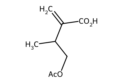 C=C(C(=O)O)C(C)COC(C)=O